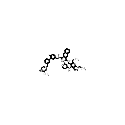 CCc1nc2c(cnn2CC)c(NC2CCOCC2)c1CNC(=O)c1cc2ccccc2cc1C(=O)NCc1ccc(F)c(-c2cccc(CN3CCN[C@@H](C)C3)c2)c1